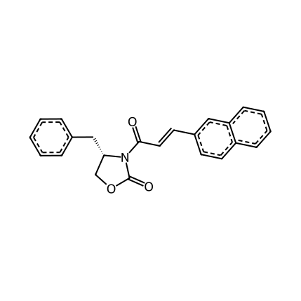 O=C(/C=C/c1ccc2ccccc2c1)N1C(=O)OC[C@@H]1Cc1ccccc1